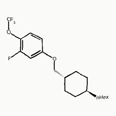 CCCCCC[C@H]1CC[C@H](COc2ccc(OC(F)(F)F)c(F)c2)CC1